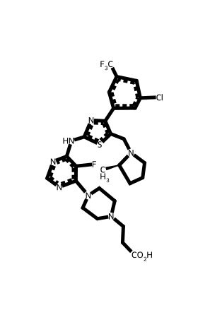 C[C@@H]1CCCN1Cc1sc(Nc2ncnc(N3CCN(CCC(=O)O)CC3)c2F)nc1-c1cc(Cl)cc(C(F)(F)F)c1